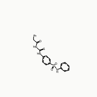 CC(C)CC(=O)NC(=S)Nc1ccc(S(=O)(=O)Nc2ccccc2)cc1